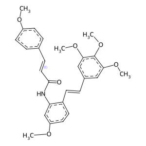 COc1ccc(/C=C/C(=O)Nc2cc(OC)ccc2C=Cc2cc(OC)c(OC)c(OC)c2)cc1